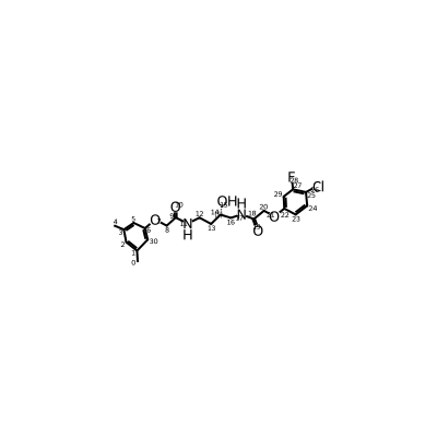 Cc1cc(C)cc(OCC(=O)NCC[C@H](O)CNC(=O)COc2ccc(Cl)c(F)c2)c1